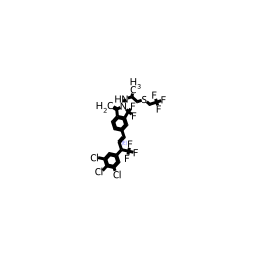 C=C1c2ccc(/C=C/C(c3cc(Cl)c(Cl)c(Cl)c3)C(F)(F)F)cc2C(F)(F)N1NC(C)CSCC(F)(F)F